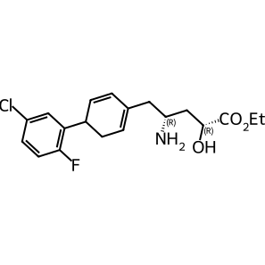 CCOC(=O)[C@H](O)C[C@H](N)CC1=CCC(c2cc(Cl)ccc2F)C=C1